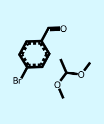 COC(C)OC.O=Cc1ccc(Br)cc1